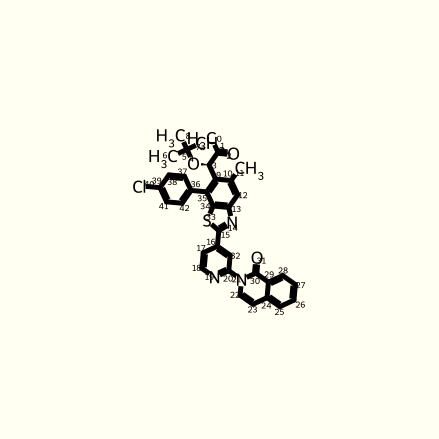 CC(=O)[C@@H](OC(C)(C)C)c1c(C)cc2nc(-c3ccnc(-n4ccc5ccccc5c4=O)c3)sc2c1-c1ccc(Cl)cc1